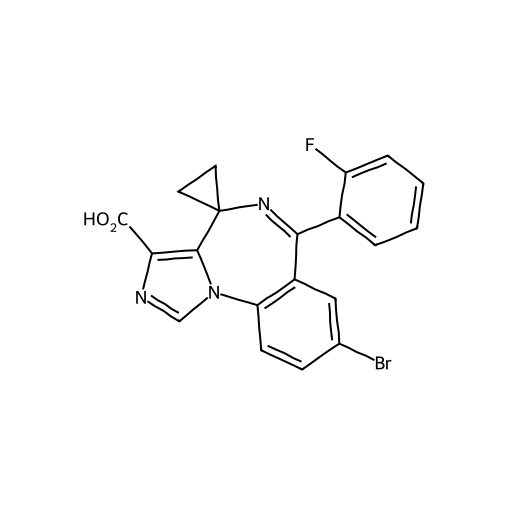 O=C(O)c1ncn2c1C1(CC1)N=C(c1ccccc1F)c1cc(Br)ccc1-2